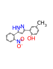 Cc1ccc(O)c(-c2cc(-c3ccccc3[N+](=O)[O-])[nH]n2)c1